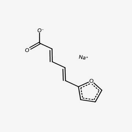 O=C([O-])C=CC=Cc1ccco1.[Na+]